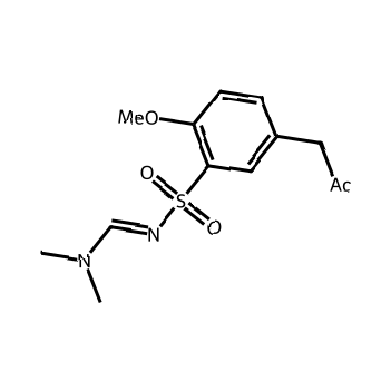 COc1ccc(CC(C)=O)cc1S(=O)(=O)N=CN(C)C